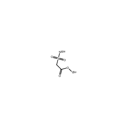 [CH]NS(=O)(=O)CC(=O)OC(C)(C)C